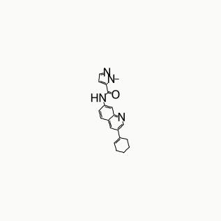 Cn1nccc1C(=O)Nc1ccc2cc(C3=CCCCC3)cnc2c1